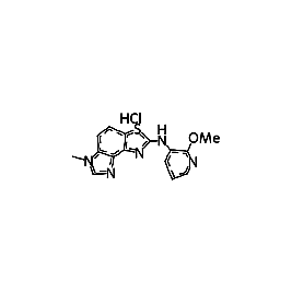 COc1ncccc1Nc1nc2c(ccc3c2ncn3C)s1.Cl